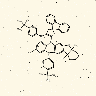 Cc1cc2c3c(c1)N(c1ccc(C(C)(C)C)cc1)c1cc4c(cc1B3C1=C(CC3(S1)c1ccccc1-c1ccccc13)N2c1ccc(C(C)(C)C)cc1)OC1(C)CCCCC41C